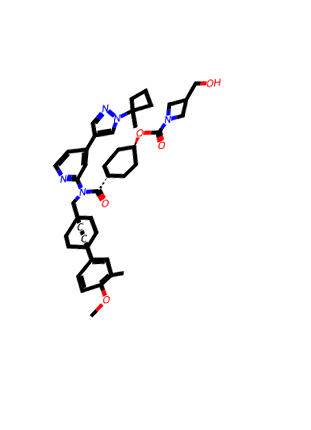 COc1ccc(C23CCC(CN(c4cc(-c5cnn(C6(C)CCC6)c5)ccn4)C(=O)[C@H]4CC[C@H](OC(=O)N5CC(CO)C5)CC4)(CC2)CC3)cc1C